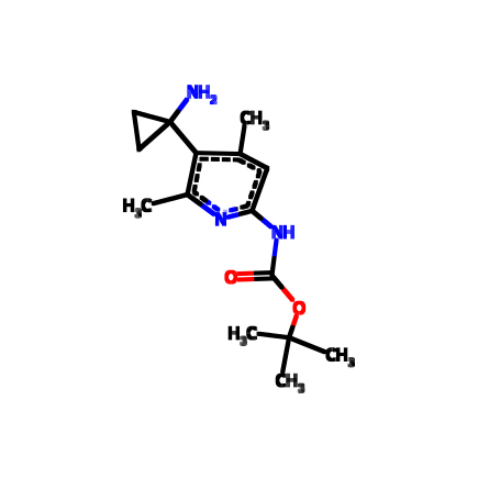 Cc1cc(NC(=O)OC(C)(C)C)nc(C)c1C1(N)CC1